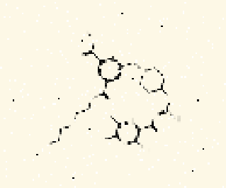 COC(=O)c1cc(CN2CCC(NC(N)=NC(=O)c3nc(Cl)c(N)nc3N)CC2)cc(C(=O)NCCOCCO)c1